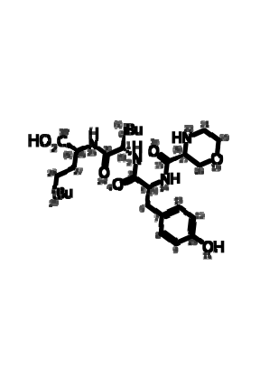 CC[C@H](C)[C@H](NC(=O)[C@H](Cc1ccc(O)cc1)NC(=O)[C@@H]1COCCN1)C(=O)N[C@@H](CCC(C)(C)C)C(=O)O